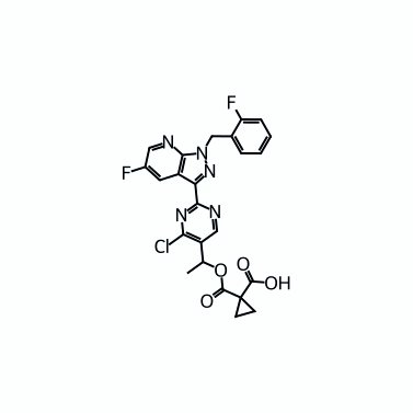 CC(OC(=O)C1(C(=O)O)CC1)c1cnc(-c2nn(Cc3ccccc3F)c3ncc(F)cc23)nc1Cl